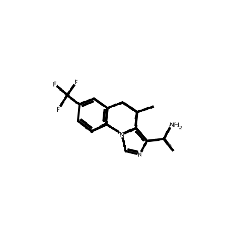 CC(N)c1ncn2c1C(C)Cc1cc(C(F)(F)F)ccc1-2